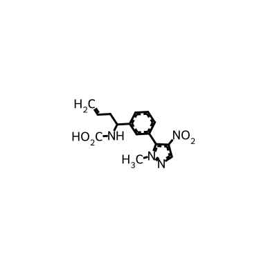 C=CCC(NC(=O)O)c1cccc(-c2c([N+](=O)[O-])cnn2C)c1